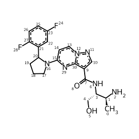 C[C@H](N)[C@H](CO)NC(=O)c1cnn2ccc(N3CCCC3c3cc(F)ccc3F)nc12